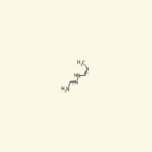 C/N=C\N/N=C/N